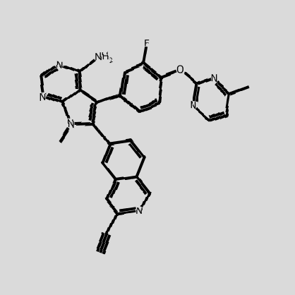 C#Cc1cc2cc(-c3c(-c4ccc(Oc5nccc(C)n5)c(F)c4)c4c(N)ncnc4n3C)ccc2cn1